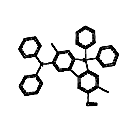 COc1cc2c(cc1C)[Si](c1ccccc1)(c1ccccc1)c1cc(C)c(N(c3ccccc3)c3ccccc3)cc1-2